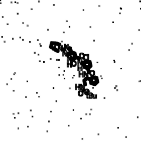 CC(C)(C)OC(=O)NCCC(NC(=O)c1ccc(Cl)c(NC(=O)c2cc3cnc(N4CC5CCC(C4)O5)nc3[nH]c2=O)c1)c1ccccc1